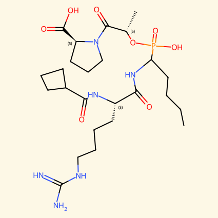 CCCCC(NC(=O)[C@H](CCCCNC(=N)N)NC(=O)C1CCC1)P(=O)(O)O[C@@H](C)C(=O)N1CCC[C@H]1C(=O)O